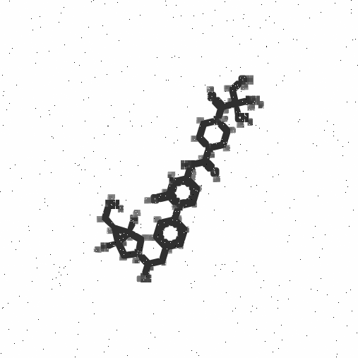 CCC(Cc1ccc(-n2ccc(NC(=O)N3CCN(C(=O)[C@@](C)(N)CO)CC3)nc2=O)cc1)N1C[C@@H]2[C@@H](CN)[C@@H]2C1